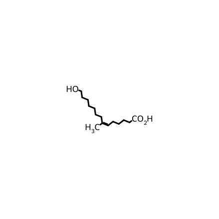 CC(=CCCCCC(=O)O)CCCCCCCO